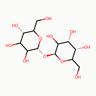 OCC1O[C@H](O[C@@H]2OC(CO)[C@@H](O)[C@@H](O)C2O)C(O)C(O)[C@@H]1O